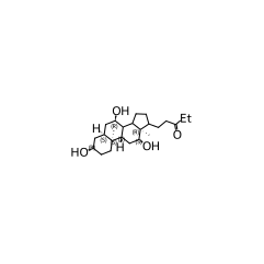 CCC(=O)CCC1CCC2C3[C@H](O)C[C@@H]4C[C@H](O)CC[C@]4(C)[C@H]3C[C@H](O)[C@]12C